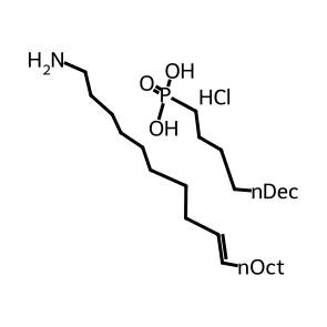 CCCCCCCCC=CCCCCCCCCN.CCCCCCCCCCCCCCP(=O)(O)O.Cl